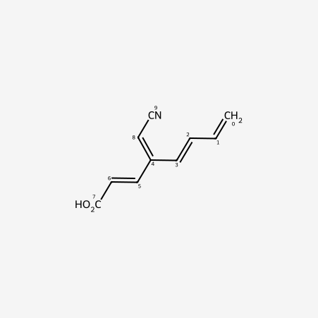 C=CC=CC(C=CC(=O)O)=CC#N